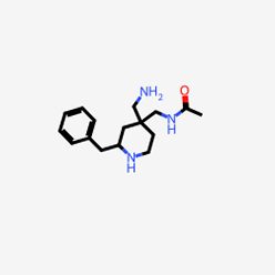 CC(=O)NCC1(CN)CCNC(Cc2ccccc2)C1